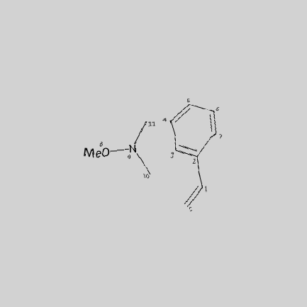 C=Cc1ccccc1.CON(C)C